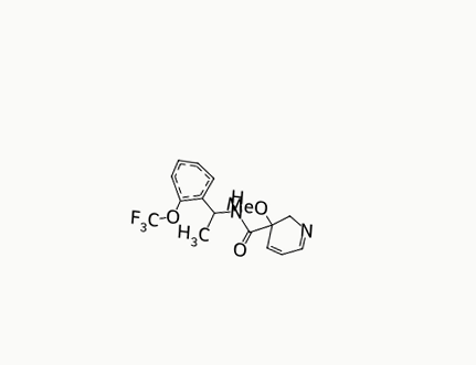 COC1(C(=O)NC(C)c2ccccc2OC(F)(F)F)C=CC=NC1